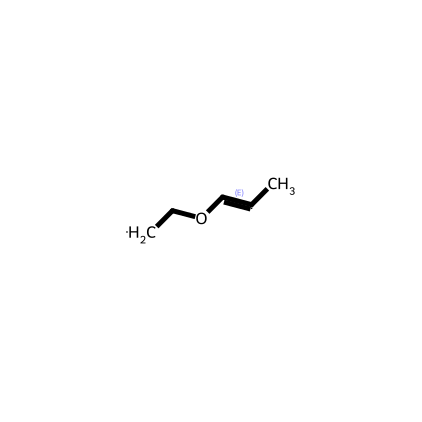 [CH2]CO/C=[C]/C